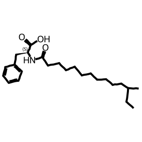 CCC(C)CCCCCCCCCCC(=O)N[C@@H](Cc1ccccc1)C(=O)O